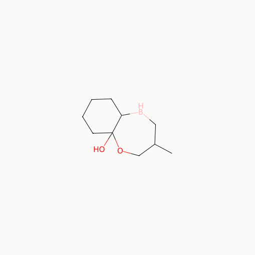 CC1CBC2CCCCC2(O)OC1